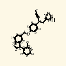 CC#CC(Cc1nnn[nH]1)c1ccc(OCc2ccc3scc(-c4cccnc4C)c3c2)cc1